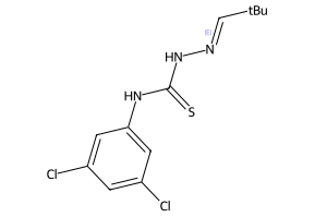 CC(C)(C)/C=N/NC(=S)Nc1cc(Cl)cc(Cl)c1